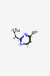 CC(C)c1ccnc(CC(C)(C)C)n1